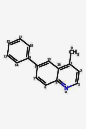 Cc1ccnc2ccc(-c3ccccc3)cc12